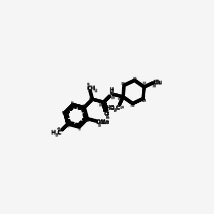 COc1cc(C)ccc1C(C)C(=O)NC1(C(=O)O)CCC(C(C)(C)C)CC1